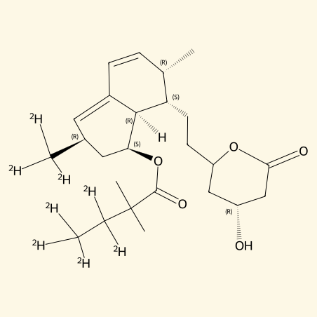 [2H]C([2H])([2H])[C@H]1C=C2C=C[C@H](C)[C@H](CCC3C[C@@H](O)CC(=O)O3)[C@H]2[C@@H](OC(=O)C(C)(C)C([2H])([2H])C([2H])([2H])[2H])C1